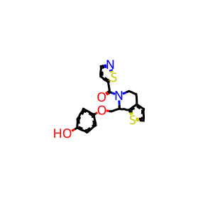 O=C(c1ccns1)N1CCc2ccsc2C1COc1ccc(O)cc1